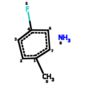 Cc1ccc(F)cc1.N